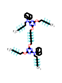 FC(F)(F)C(F)(F)C(F)(F)C(F)(F)CCOc1nc(OCC(F)(F)C(F)(F)C(F)(F)C(F)(F)COc2nc(OCCC(F)(F)C(F)(F)C(F)(F)C(F)(F)F)nc(N(CCC(F)(F)C(F)(F)C(F)(F)C(F)(F)F)C34CC5CC(CC(C5)C3)C4)n2)nc(N(CCC(F)(F)C(F)(F)C(F)(F)C(F)(F)F)C23CC4CC(CC(C4)C2)C3)n1